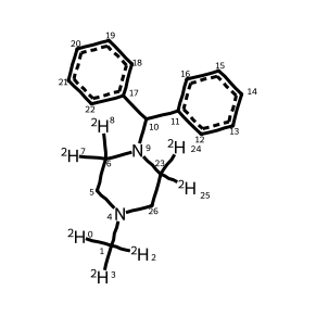 [2H]C([2H])([2H])N1CC([2H])([2H])N(C(c2ccccc2)c2ccccc2)C([2H])([2H])C1